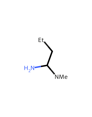 CCCC(N)NC